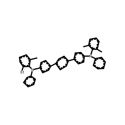 CCc1cccc(C)c1N(c1ccccc1)c1ccc(-c2ccc(-c3ccc(N(c4ccccc4)c4c(C)cccc4C)cc3)cc2)cc1